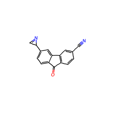 N#Cc1ccc2c(c1)-c1cc(C3C=N3)ccc1C2=O